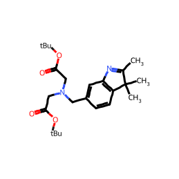 CC1=Nc2cc(CN(CC(=O)OC(C)(C)C)CC(=O)OC(C)(C)C)ccc2C1(C)C